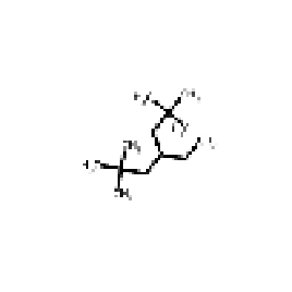 CC[C](CC(C)(C)C)CC(C)(C)C